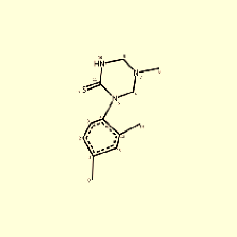 Cc1ccc(N2CN(C)CNC2=S)c(C)c1